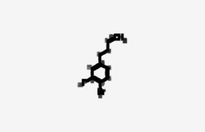 C=CCCc1ccc(Br)c(F)c1